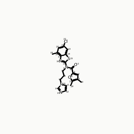 Cc1cc(C(=O)N(CCCn2ccnc2)c2nc3c(C)cc(Cl)cc3s2)oc1C